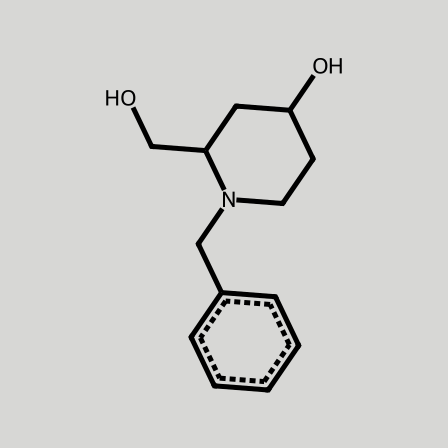 OCC1CC(O)CCN1Cc1ccccc1